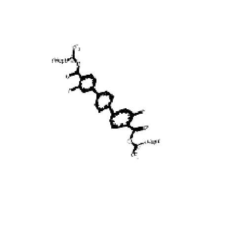 CCCCCCC[C@H](OC(=O)c1ccc(-c2ccc(-c3ccc(C(=O)O[C@@H](CCCCCCC)C(F)(F)F)c(F)c3)cc2)cc1F)C(F)(F)F